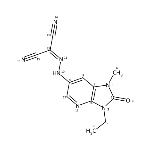 CCn1c(=O)n(C)c2cc(NN=C(C#N)C#N)cnc21